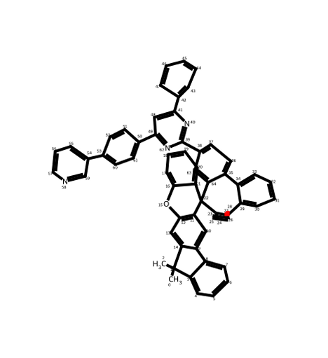 CC1(C)c2ccccc2-c2cc3c(cc21)Oc1ccccc1C31c2ccccc2-c2ccccc2-c2ccc(-c3nc(-c4ccccc4)cc(-c4ccc(-c5cccnc5)cc4)n3)cc21